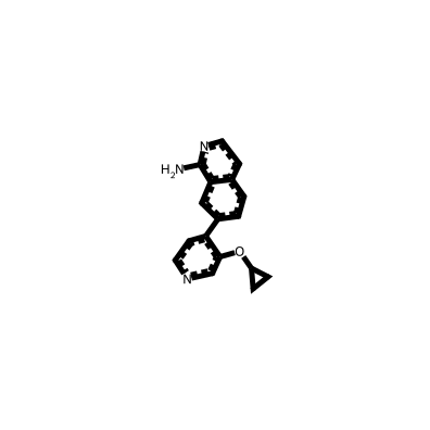 Nc1nccc2ccc(-c3ccncc3OC3CC3)cc12